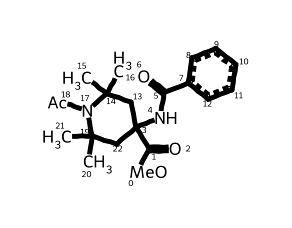 COC(=O)C1(NC(=O)c2ccccc2)CC(C)(C)N(C(C)=O)C(C)(C)C1